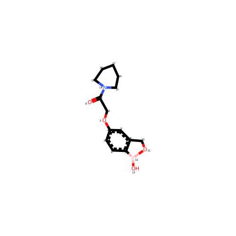 O=C(COc1ccc2c(c1)COB2O)N1CCCCC1